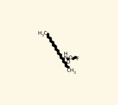 CCCCCCC=CCCCCCC(CCCCC)NC(=O)OCCF